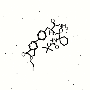 CC(C)(C)OC(=O)NC1(C(=O)N[C@@H](Cc2ccc(-c3ccc4c(c3)CN(CCI)C4=O)cc2)C(N)=O)CCCCC1